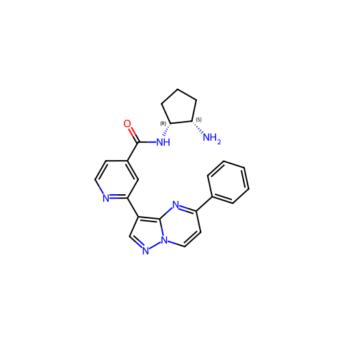 N[C@H]1CCC[C@H]1NC(=O)c1ccnc(-c2cnn3ccc(-c4ccccc4)nc23)c1